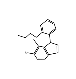 CCCCc1ccccc1C1C=Cc2ccc(Br)c(C)c21